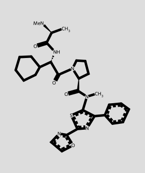 CN[C@@H](C)C(=O)N[C@H](C(=O)N1CCC[C@H]1C(=O)N(C)c1sc(-c2ncco2)nc1-c1ccccc1)C1CCCCC1